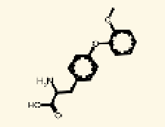 COc1ccccc1Oc1ccc(CC(N)C(=O)O)cc1